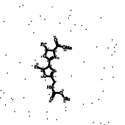 CCC1OC(C2N=C(CNC(=O)OC(C)(C)C)OC2CC)=NC1C(=O)OC